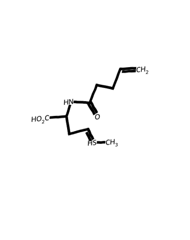 C=CCCC(=O)NC(CC=[SH]C)C(=O)O